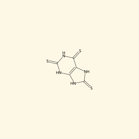 S=c1[nH]c(=S)c2[nH]c(=S)[nH]c2[nH]1